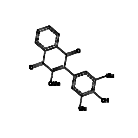 COC1=C(c2cc(C(C)(C)C)c(O)c(C(C)(C)C)c2)C(=O)c2ccccc2C1=O